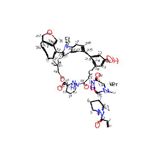 C=CC(=O)N1CC[C@H](C(=O)N(C)[C@H](C(=O)N[C@H]2Cc3cc(O)cc(c3)-c3ccc4c(c3)c(c(-c3cccc5c3COC5)n4CC)CC(C)(C)COC(=O)[C@@H]3CCCN(N3)C2=O)C(C)C)C1